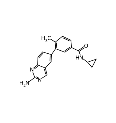 Cc1ccc(C(=O)NC2CC2)cc1-c1ccc2nc(N)ncc2c1